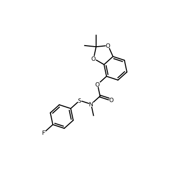 CN(Sc1ccc(F)cc1)C(=O)Oc1cccc2c1OC(C)(C)O2